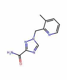 Cc1cccnc1Cn1cnc(C(N)=O)n1